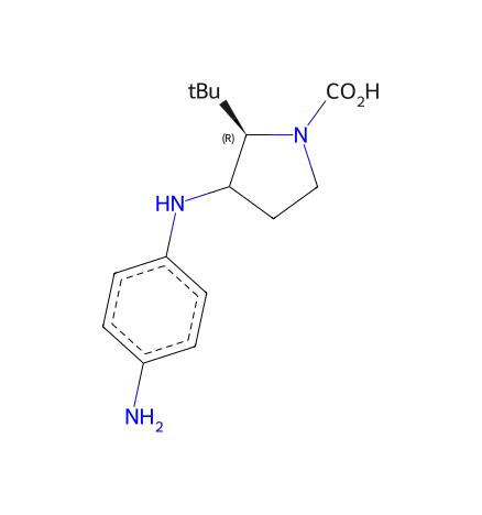 CC(C)(C)[C@@H]1C(Nc2ccc(N)cc2)CCN1C(=O)O